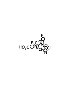 O=C(CN(Cc1ccc(F)cc1)C(=O)c1cnn([C@H]2CC[C@@H](C(=O)O)CC2)c1C(F)(F)F)c1c(Cl)cncc1Cl